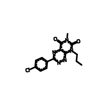 CCCn1c(=O)n(C)c(=O)c2nc(-c3ccc(Cl)cc3)nnc21